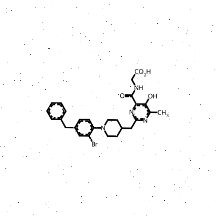 Cc1nc(CC2CCN(c3ccc(Cc4ccccc4)cc3Br)CC2)nc(C(=O)NCC(=O)O)c1O